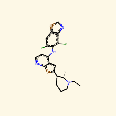 CCN1CCCC(c2cc3c(Nc4c(F)cc5scnc5c4F)ccnc3s2)[C@@H]1C